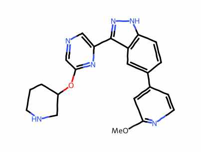 COc1cc(-c2ccc3[nH]nc(-c4cncc(OC5CCCNC5)n4)c3c2)ccn1